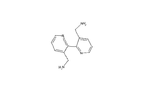 NCc1cccnc1-c1ncccc1CN